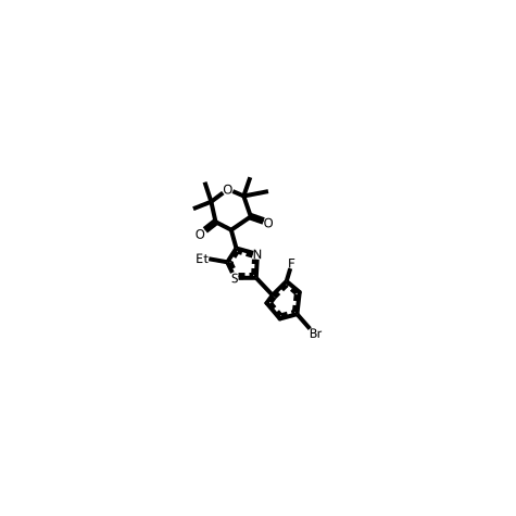 CCc1sc(-c2ccc(Br)cc2F)nc1C1C(=O)C(C)(C)OC(C)(C)C1=O